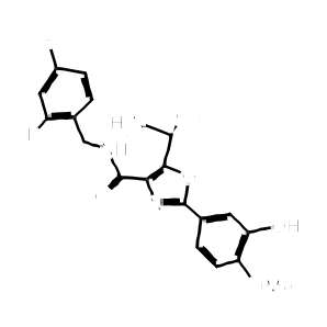 COc1ccc(-c2nc(C(=O)NCc3ccc(F)cc3F)c([C@H](C)N)o2)cc1O